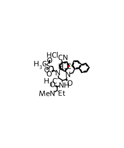 CC[C@H](NC)C(=O)N[C@@H]1C(=O)N(Cc2c(C)ccc3ccccc23)c2ccc(C#N)cc2N(C(=O)CS(C)(=O)=O)[C@H]1C.Cl